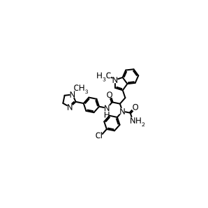 CN1CCN=C1c1ccc(NC(=O)C(Cc2cn(C)c3ccccc23)N(C(N)=O)c2ccc(Cl)cc2)cc1